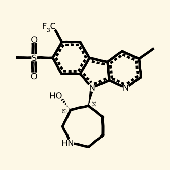 Cc1cnc2c(c1)c1cc(C(F)(F)F)c(S(C)(=O)=O)cc1n2[C@H]1CCCNC[C@@H]1O